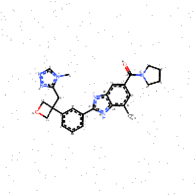 Cn1cnnc1CC1(c2cccc(-c3nc4cc(C(=O)N5CCCC5)cc(C(F)(F)F)c4[nH]3)c2)COC1